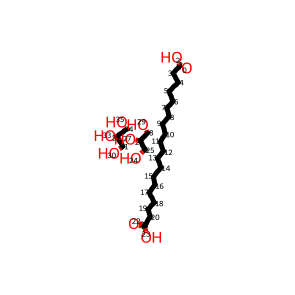 O=C(O)CCCCCCCCCCCCCCCCCCC(=O)O.OCC(O)CO.OCC(O)CO